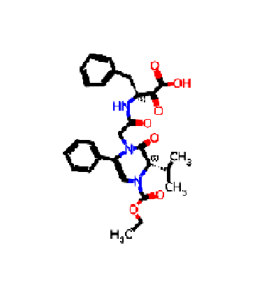 CCOC(=O)N1C=C(c2ccccc2)N(CC(=O)N[C@@H](Cc2ccccc2)C(=O)C(=O)O)C(=O)[C@@H]1C(C)C